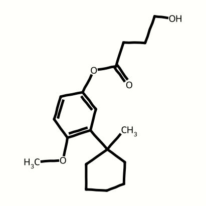 COc1ccc(OC(=O)CCCO)cc1C1(C)CCCCC1